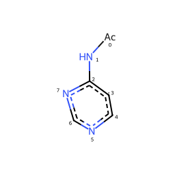 CC(=O)Nc1[c]cncn1